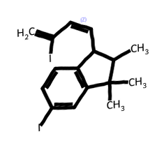 C=C(I)/C=C\C1c2ccc(I)cc2C(C)(C)C1C